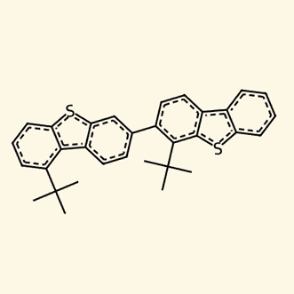 CC(C)(C)c1c(-c2ccc3c(c2)sc2cccc(C(C)(C)C)c23)ccc2c1sc1ccccc12